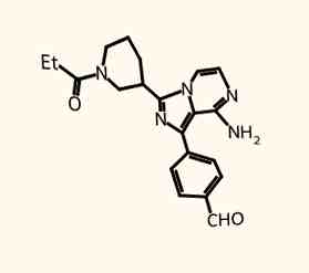 CCC(=O)N1CCCC(c2nc(-c3ccc(C=O)cc3)c3c(N)nccn23)C1